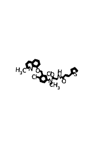 Cc1ccc2cccc(OCc3c(Cl)ccc(N(C)C(=O)CNC(=O)/C=C/c4cccs4)c3Cl)c2n1